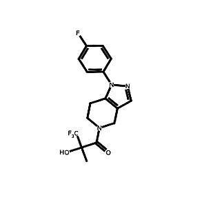 CC(O)(C(=O)N1CCc2c(cnn2-c2ccc(F)cc2)C1)C(F)(F)F